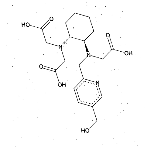 O=C(O)CN(CC(=O)O)[C@@H]1CCCC[C@H]1N(CC(=O)O)Cc1ccc(CO)cn1